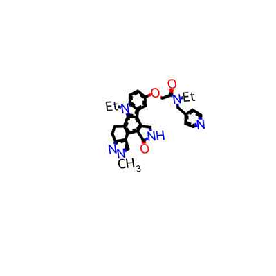 CCN(Cc1ccncc1)C(=O)COc1ccc2c(c1)c1c3c(c4c(c1n2CC)CCc1nn(C)cc1-4)C(=O)NC3